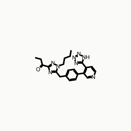 CCCCn1nc(C(=O)CC)nc1Cc1ccc(-c2cnccc2-c2nnn[nH]2)cc1